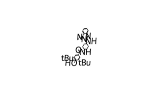 CN(C)c1nc(N[C@H]2CC[C@@H](NC(=O)c3cc(C(C)(C)C)c(O)c(C(C)(C)C)c3)CC2)nc2ccccc12